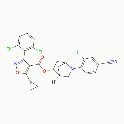 N#Cc1ccc(N2C[C@@H]3C[C@H]2C[C@H]3OC(=O)c2c(-c3c(Cl)cccc3Cl)noc2C2CC2)c(F)c1